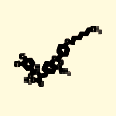 CCCCCCCOc1ccc(C(=O)Oc2ccc(CC(NC(=O)c3ccc(Cl)c(Cl)c3)C(C)=O)cc2OC)cc1